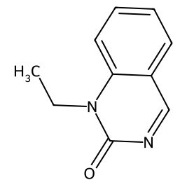 CCn1c(=O)ncc2ccccc21